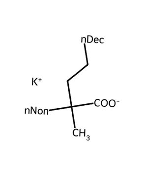 CCCCCCCCCCCCC(C)(CCCCCCCCC)C(=O)[O-].[K+]